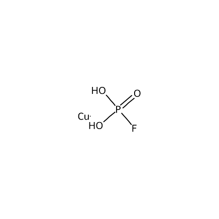 O=P(O)(O)F.[Cu]